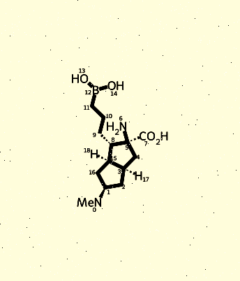 CN[C@@H]1C[C@@H]2C[C@@](N)(C(=O)O)[C@@H](CCCB(O)O)[C@@H]2C1